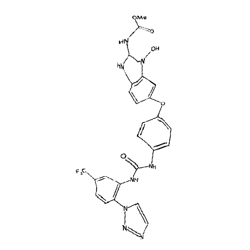 COC(=O)NC1Nc2ccc(Oc3ccc(NC(=O)Nc4cc(C(F)(F)F)ccc4-n4ccnn4)cc3)cc2N1O